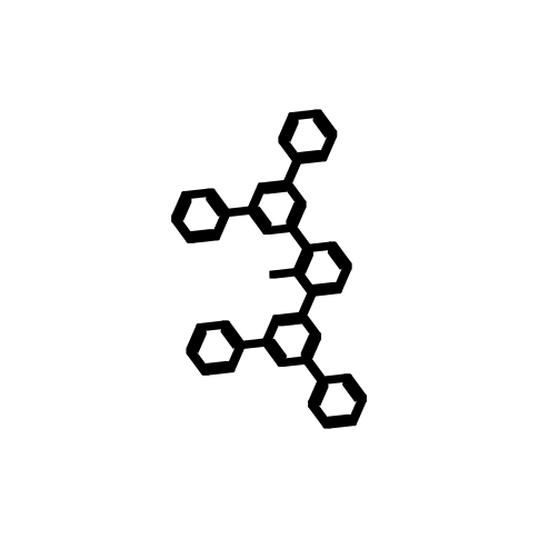 Cc1c(-c2cc(-c3ccccc3)cc(-c3ccccc3)c2)cccc1-c1cc(-c2ccccc2)cc(-c2ccccc2)c1